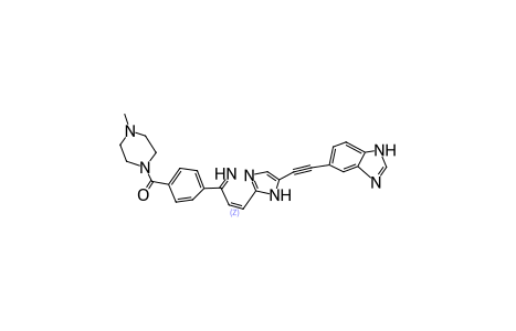 CN1CCN(C(=O)c2ccc(C(=N)/C=C\c3ncc(C#Cc4ccc5[nH]cnc5c4)[nH]3)cc2)CC1